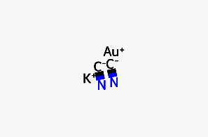 [Au+].[C-]#N.[C-]#N.[K+]